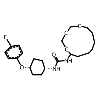 O=C(NC1CCCCCCCCCCC1)N[C@H]1CC[C@@H](Oc2ccc(F)cc2)CC1